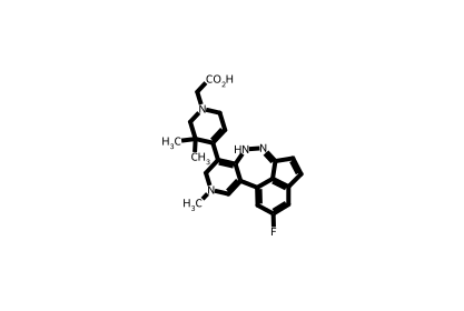 CN1C=C2C(=C(C3=CCN(CC(=O)O)CC3(C)C)C1)NN=C1C=Cc3cc(F)cc2c31